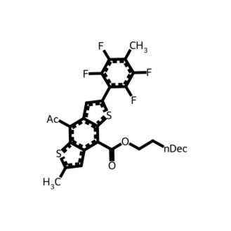 CCCCCCCCCCCCOC(=O)c1c2cc(C)sc2c(C(C)=O)c2cc(-c3c(F)c(F)c(C)c(F)c3F)sc12